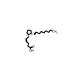 CCCCCCC/C=C/[C@H]1CCC[C@@H]1C/C=C\CCC(=O)O